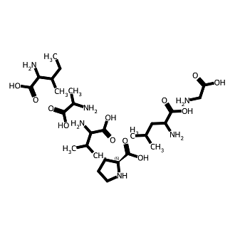 CC(C)C(N)C(=O)O.CC(C)CC(N)C(=O)O.CC(N)C(=O)O.CCC(C)C(N)C(=O)O.NCC(=O)O.O=C(O)[C@@H]1CCCN1